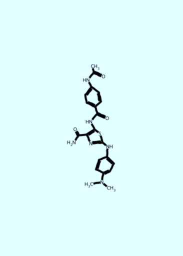 CC(=O)Nc1ccc(C(=O)Nc2sc(Nc3ccc(N(C)C)cc3)nc2C(N)=O)cc1